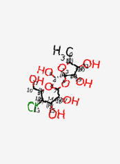 C[C@H]1O[C@](CO)(OC2O[C@H](CO)[C@H](Cl)[C@H](O)[C@H]2O)[C@@H](O)[C@@H]1O